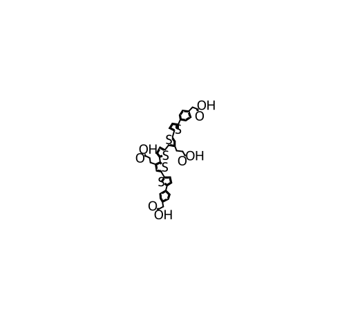 O=C(O)CCc1cc(-c2ccc(-c3ccc(CC(=O)O)cc3)s2)sc1-c1ccc(-c2sc(-c3ccc(-c4ccc(CC(=O)O)cc4)s3)cc2CCC(=O)O)s1